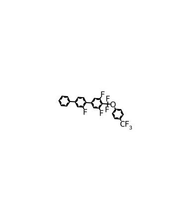 Fc1cc(-c2ccccc2)ccc1-c1cc(F)c(C(F)(F)Oc2ccc(C(F)(F)F)cc2)c(F)c1